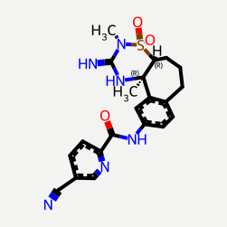 CN1C(=N)N[C@]2(C)c3cc(NC(=O)c4ccc(C#N)cn4)ccc3CCC[C@H]2S1(=O)=O